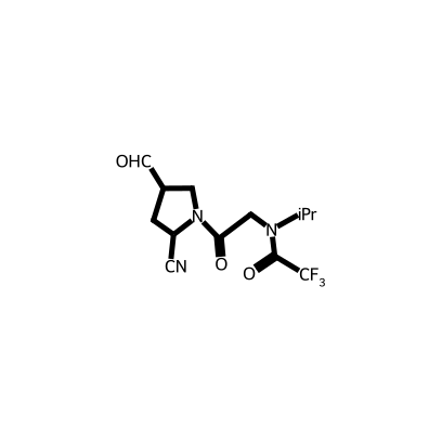 CC(C)N(CC(=O)N1CC(C=O)CC1C#N)C(=O)C(F)(F)F